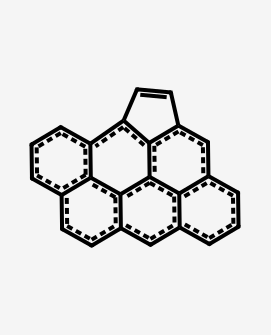 C1=Cc2c3cccc4ccc5cc6cccc7cc1c2c(c76)c5c43